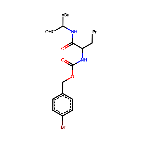 CCCCC(C=O)NC(=O)C(CC(C)C)NC(=O)OCc1ccc(Br)cc1